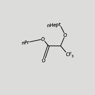 CCCCCCCOC(C(=O)OCCC)C(F)(F)F